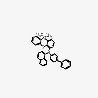 C[Si]1(C)c2ccccc2Sc2c(N(c3ccc(-c4ccccc4)cc3)c3cccc4ccccc34)cccc21